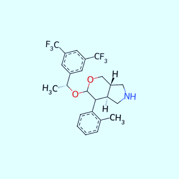 Cc1ccccc1C1C(O[C@H](C)c2cc(C(F)(F)F)cc(C(F)(F)F)c2)OC[C@@H]2CNC[C@@H]12